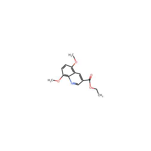 CCOC(=O)c1cnc2c(OC)ccc(OC)c2c1